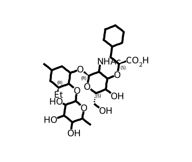 CC[C@@H]1CC(C)CC(O[C@@H]2O[C@@H](CO)C(O)C(O[C@@H](CC3CCCCC3)C(=O)O)C2NC(C)=O)C1OC1OC(C)C(O)C(O)C1O